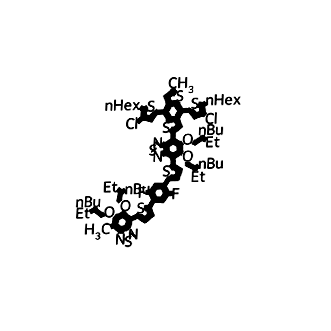 CCCCCCc1sc(-c2c3cc(-c4c(OCC(CC)CCCC)c(OCC(CC)CCCC)c(-c5ccc(-c6cc(F)c(-c7ccc(-c8c(OCC(CC)CCCC)c(OCC(CC)CCCC)c(C)c9nsnc89)s7)cc6F)s5)c5nsnc45)sc3c(-c3cc(Cl)c(CCCCCC)s3)c3cc(C)sc23)cc1Cl